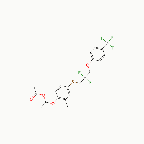 CC(=O)OC(C)Oc1ccc(SCC(F)(F)COc2ccc(C(F)(F)F)cc2)cc1C